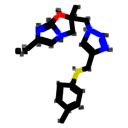 Cc1ccc(SCc2cn(CC3(C)Cn4cc([N+](=O)[O-])nc4O3)nn2)cc1